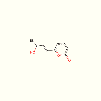 CCC(O)C=Cc1cccc(=O)o1